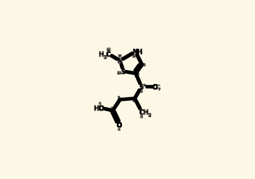 CC(CC(=O)O)[S+]([O-])C1=CNN(C)S1